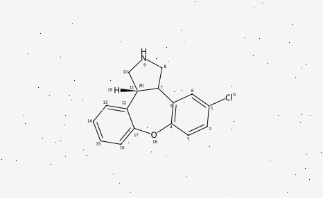 Clc1ccc2c(c1)C1CNC[C@H]1c1ccccc1O2